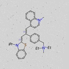 CC[N+](C)(CC)Cc1ccc(C(=C\c2cc[n+](C)c3ccccc23)/C=C2\Sc3ccccc3N2C(C)C)cc1